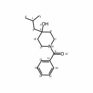 CC(C)CC1(O)CCN(C(=O)c2c[c]ccc2)CC1